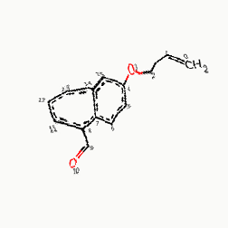 C=CCOc1ccc2c(C=O)cccc2c1